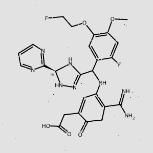 COc1cc(F)c(C(NC2=C(C(=N)N)CC(=O)C(CC(=O)O)=C2)C2=NN[C@@H](c3ncccn3)N2)cc1OCCF